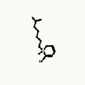 CC(C)CCCCC[N+]1(C)CC=CC=C1Br